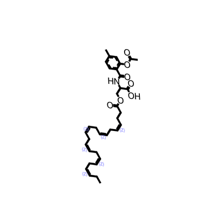 CC/C=C\C/C=C\C/C=C\C/C=C\C/C=C\C/C=C\CCC(=O)OCC(NC(=O)c1ccc(C)cc1OC(C)=O)C(=O)O